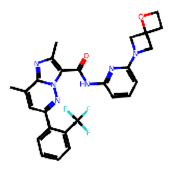 Cc1nc2c(C)cc(-c3ccccc3C(F)(F)F)nn2c1C(=O)Nc1cccc(N2CC3(CCO3)C2)n1